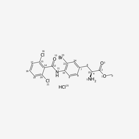 COC(=O)[C@@H](N)Cc1ccc(NC(=O)c2c(Cl)cccc2Cl)c(Br)c1.Cl